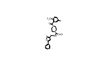 O=CC(NCc1cc(-c2ccccc2)on1)N1CCN(C(=O)c2cc(F)ccc2C(F)(F)F)CC1